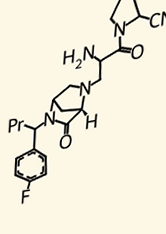 CC(C)C(c1ccc(F)cc1)N1C(=O)[C@@H]2CC1CN2CC(N)C(=O)N1CCCC1C#N